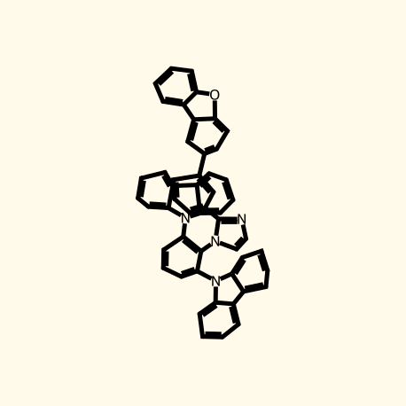 c1cc(-c2ccc3oc4ccccc4c3c2)cc(-c2nccn2-c2c(-n3c4ccccc4c4ccccc43)cccc2-n2c3ccccc3c3ccccc32)c1